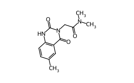 Cc1ccc2[nH]c(=O)n(CC(=O)N(C)C)c(=O)c2c1